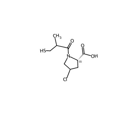 CC(CS)C(=O)N1CC(Cl)C[C@H]1C(=O)O